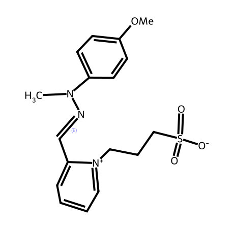 COc1ccc(N(C)/N=C/c2cccc[n+]2CCCS(=O)(=O)[O-])cc1